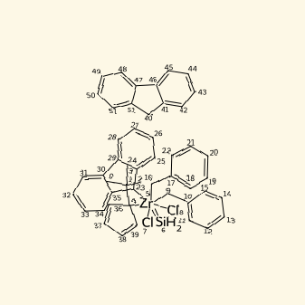 CC(C)(C)[C]1([Zr](=[SiH2])([Cl])([Cl])([CH2]c2ccccc2)([CH2]c2ccccc2)[CH]2c3ccccc3-c3ccccc32)C=CC=C1.[CH]1c2ccccc2-c2ccccc21